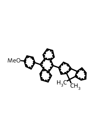 COc1ccc(-c2c3ccccc3c(-c3ccc4c(c3)C(C)(C)c3ccccc3-4)c3ccccc23)cc1